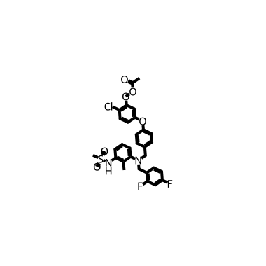 CC(=O)OOc1cc(Oc2ccc(CN(Cc3ccc(F)cc3F)c3cccc(NS(C)(=O)=O)c3C)cc2)ccc1Cl